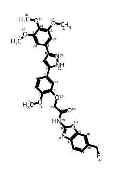 COc1ccc(-c2cc(-c3cc(OC)c(OC)c(OC)c3)n[nH]2)cc1OCC(=O)Nc1nc2ccc(CF)cc2s1